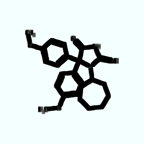 COc1ccc(C2(c3ccc(OC)cc3)C(=O)NC(=N)N2C2CCCCCC2)cc1